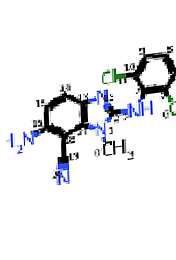 Cn1c(Nc2c(Cl)cccc2Cl)nc2ccc(N)c(C#N)c21